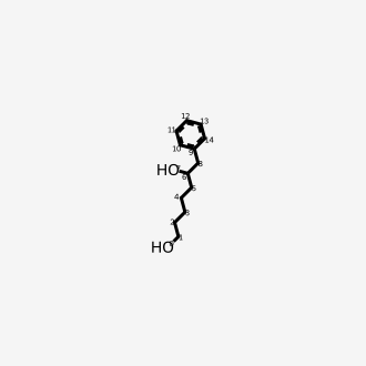 OCCCCCC(O)Cc1ccccc1